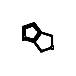 [C]1OCc2ccsc21